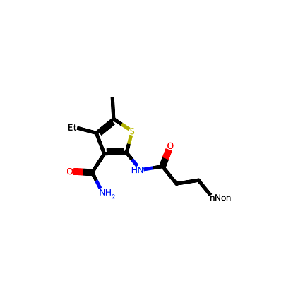 CCCCCCCCCCCC(=O)Nc1sc(C)c(CC)c1C(N)=O